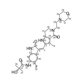 Cc1c(C=C2C(=O)Nc3cc(NC(=O)C(C)(C)O)c(F)cc32)[nH]c2c1C(=O)N(CCN1CCOCC1)CC2